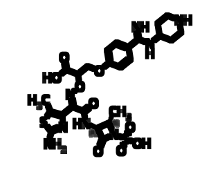 Cc1sc(N)nc1C(=NOC(COc1ccc(C(=N)NC2CCNCC2)cc1)C(=O)O)C(=O)N[C@@H]1C(=O)N(S(=O)(=O)O)[C@H]1C